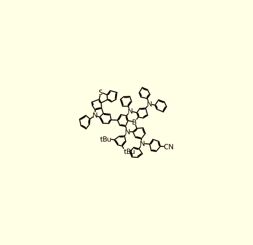 CC(C)(C)c1cc(N2c3cc(N(c4ccccc4)c4ccc(C#N)cc4)ccc3B3c4ccc(N(c5ccccc5)c5ccccc5)cc4N(c4ccccc4)c4cc(-c5ccc6c(c5)c5c7c(ccc5n6-c5ccccc5)sc5ccccc57)cc2c43)cc(C(C)(C)C)c1